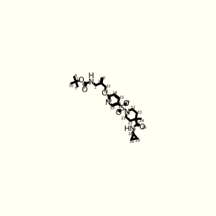 C=C(CNC(=O)OC(C)(C)C)COc1ccc(S(=O)(=O)N2CCC(C)(C(=O)NC3CC3)CC2)cn1